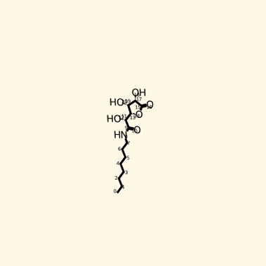 CCCCCCCCNC(=O)[C@H](O)[C@H]1OC(=O)[C@@H](O)[C@H]1O